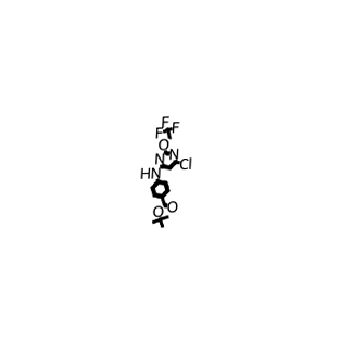 CC(C)(C)OC(=O)c1ccc(Nc2cc(Cl)nc(OCC(F)(F)F)n2)cc1